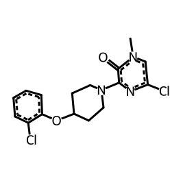 Cn1cc(Cl)nc(N2CCC(Oc3ccccc3Cl)CC2)c1=O